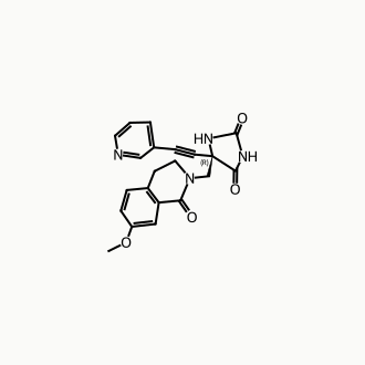 COc1ccc2c(c1)C(=O)N(C[C@@]1(C#Cc3cccnc3)NC(=O)NC1=O)CC2